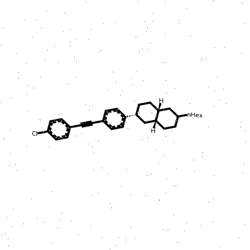 CCCCCCC1CC[C@@H]2C[C@H](c3ccc(C#Cc4ccc(Cl)cc4)cc3)CC[C@@H]2C1